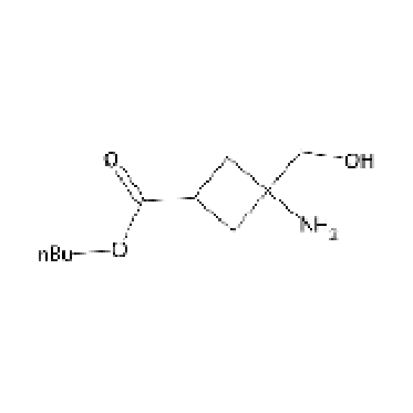 CCCCOC(=O)C1CC(N)(CO)C1